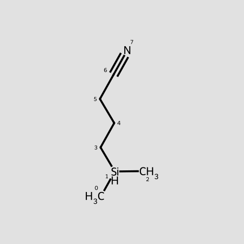 C[SiH](C)CCCC#N